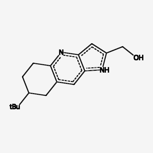 CC(C)(C)C1CCc2nc3cc(CO)[nH]c3cc2C1